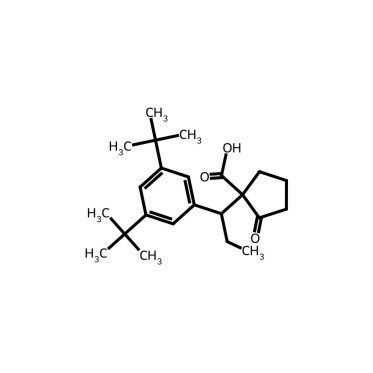 CCC(c1cc(C(C)(C)C)cc(C(C)(C)C)c1)C1(C(=O)O)CCCC1=O